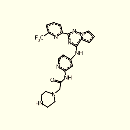 O=C(CN1CCNCC1)Nc1cc(Nc2nc(-c3cccc(C(F)(F)F)n3)nn3cccc23)ccn1